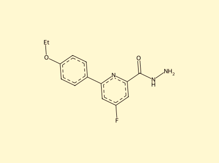 CCOc1ccc(-c2cc(F)cc(C(=O)NN)n2)cc1